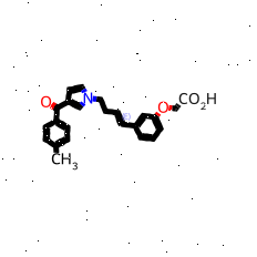 Cc1ccc(C(=O)c2ccn(CC/C=C/c3cccc(OCC(=O)O)c3)c2)cc1